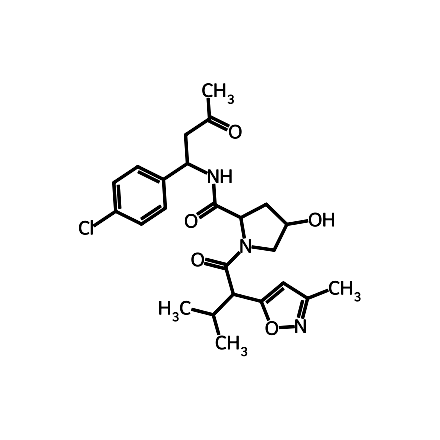 CC(=O)CC(NC(=O)C1CC(O)CN1C(=O)C(c1cc(C)no1)C(C)C)c1ccc(Cl)cc1